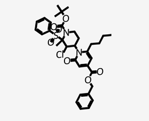 CCCCc1cc(C(=O)OCc2ccccc2)cc(=O)n1C1CCN(C(=O)OC(C)(C)C)C(C)(S(=O)(=O)c2ccccc2)C1Cl